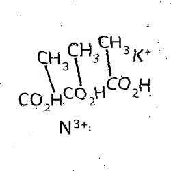 CC(=O)O.CC(=O)O.CC(=O)O.[K+].[N+3]